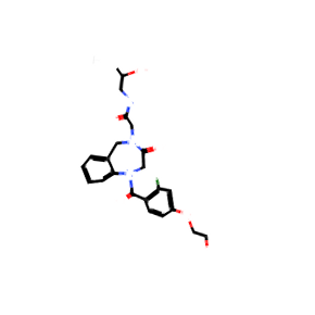 CC(O)CNC(=O)CN1Cc2ccccc2N(C(=O)c2ccc(OCCO)cc2Cl)CC1=O